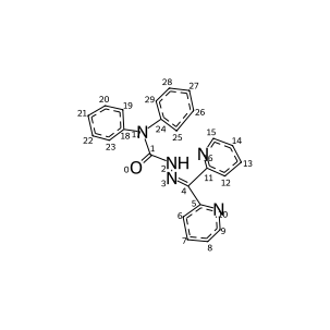 O=C(NN=C(c1ccccn1)c1ccccn1)N(c1ccccc1)c1ccccc1